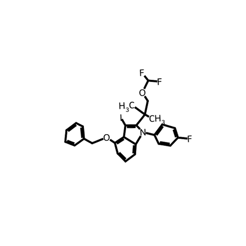 CC(C)(COC(F)F)c1c(I)c2c(OCc3ccccc3)cccc2n1-c1ccc(F)cc1